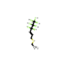 [CH2]CSCC=CC(F)(F)C(F)(F)C(F)(F)F